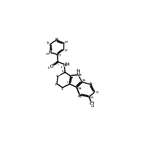 O=C(NC1CCCc2c1[nH]c1ccc(Cl)cc21)c1ccccn1